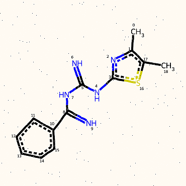 Cc1nc(NC(=N)NC(=N)c2ccccc2)sc1C